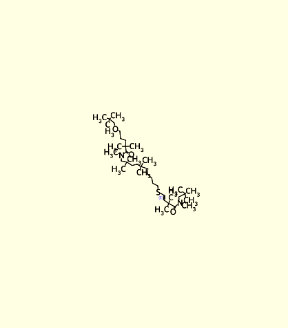 CN(CC(C)(C)C)C(=O)C(C)(C)/C=C/SCCCCCC(C)(C)CCC(C)(C)CN(C)C(=O)C(C)(C)CCCOCC(C)(C)C